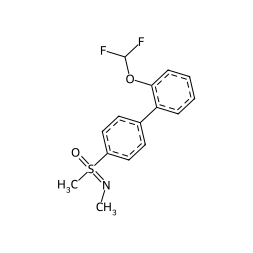 CN=S(C)(=O)c1ccc(-c2ccccc2OC(F)F)cc1